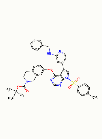 Cc1ccc(S(=O)(=O)n2cc(-c3ccnc(NCc4ccccc4)c3)c3c(Oc4ccc5c(c4)CN(C(=O)OC(C)(C)C)CC5)ncnc32)cc1